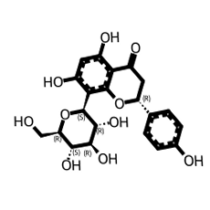 O=C1C[C@H](c2ccc(O)cc2)Oc2c1c(O)cc(O)c2[C@@H]1O[C@H](CO)[C@@H](O)[C@H](O)[C@H]1O